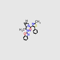 Cc1nc(C(=O)N2C[C@H]3CC3[C@H]2[C@H](C)Nc2nc3ccccc3o2)c(-c2ccccc2)s1